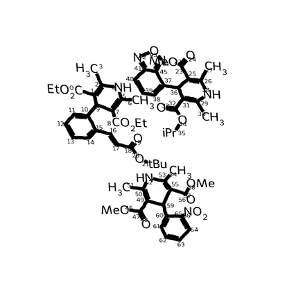 CCOC(=O)C1=C(C)NC(C)=C(C(=O)OCC)C1c1ccccc1/C=C/C(=O)OC(C)(C)C.COC(=O)C1=C(C)NC(C)=C(C(=O)OC(C)C)C1c1cccc2nonc12.COC(=O)C1=C(C)NC(C)=C(C(=O)OC)C1c1ccccc1[N+](=O)[O-]